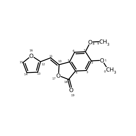 COc1cc2c(cc1OC)C(=Cc1ccco1)OC2=O